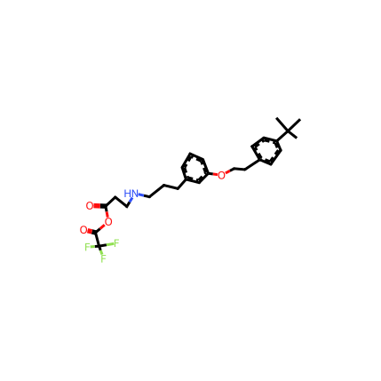 CC(C)(C)c1ccc(CCOc2cccc(CCCNCCC(=O)OC(=O)C(F)(F)F)c2)cc1